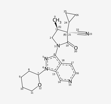 C[C@@H]1CN(c2nn(C3CCCCO3)c3cnccc23)C(=O)[C@]1(C#N)C1CC1